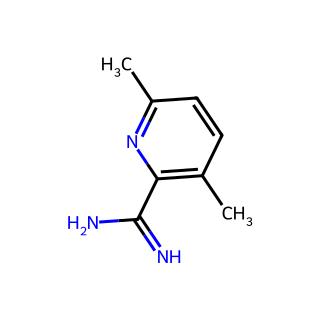 Cc1ccc(C)c(C(=N)N)n1